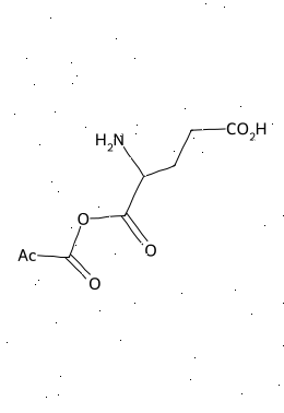 CC(=O)C(=O)OC(=O)C(N)CCC(=O)O